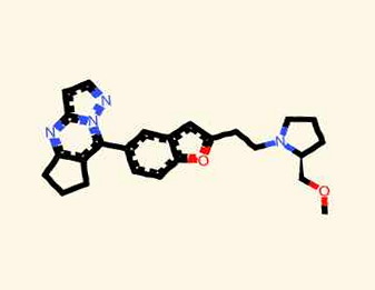 COC[C@@H]1CCCN1CCc1cc2cc(-c3c4c(nc5ccnn35)CCC4)ccc2o1